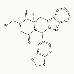 CC(C)CN1CC(=O)N2C(c3ccc4c(c3)OCO4)c3[nH]c4ccccc4c3C[C@@H]2C1=O